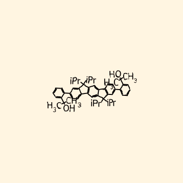 CC(C)C1(C(C)C)c2cc(-c3ccccc3C(C)(C)O)ccc2-c2cc3c(cc21)-c1ccc(-c2ccccc2C(C)(C)O)cc1C3(C(C)C)C(C)C